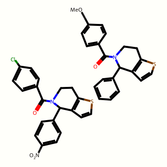 COc1ccc(C(=O)N2CCc3sccc3C2c2ccccc2)cc1.O=C(c1ccc(Cl)cc1)N1CCc2sccc2C1c1ccc([N+](=O)[O-])cc1